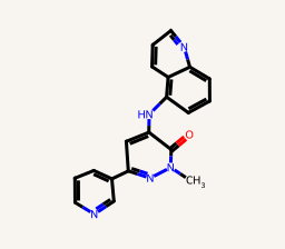 Cn1nc(-c2cccnc2)cc(Nc2cccc3ncccc23)c1=O